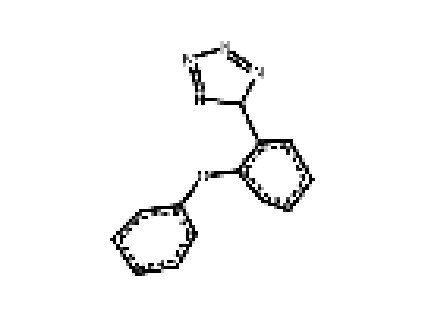 c1ccc(Oc2ccccc2C2N=NN=N2)cc1